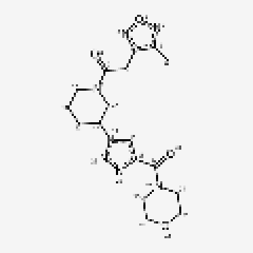 Cc1nonc1CC(=O)N1CCCC(n2cc(C(=O)N3CCOCC3)nn2)C1